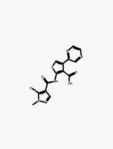 Cn1ncc(C(=O)Nc2scc(-c3cnccn3)c2C(=O)O)c1Cl